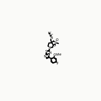 COc1cc(F)ccc1-c1cnc2sc(N3CCC(CN=[N+]=[N-])(CS(C)(=O)=O)CC3)nn12